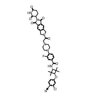 CC1(C)[C@H](NC(=O)c2ccc(N3CCN(CC(=O)N4Cc5cc6c(cc5C4)C(=O)N(C4CCC(=O)NC4=O)C6=O)CC3)c(F)c2)C(C)(C)[C@H]1Oc1ccc(C#N)c(Cl)c1